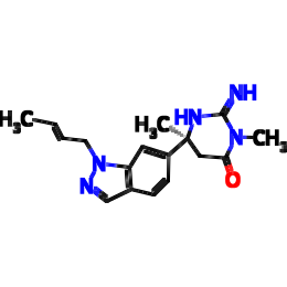 C/C=C/Cn1ncc2ccc([C@]3(C)CC(=O)N(C)C(=N)N3)cc21